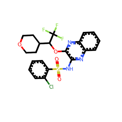 O=S(=O)(Nc1nc2ccccc2nc1OC(C1CCOCC1)C(F)(F)F)c1ccccc1Cl